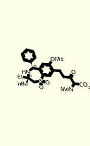 CCCC[C@]1(CC)CS(=O)(=O)c2cc(CCC(=O)C(NC)C(=O)O)c(OC)cc2[C@@H](c2ccccc2)N1